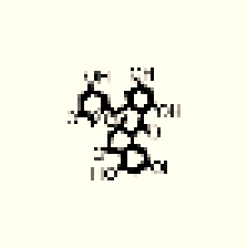 CC1(O)CC(=O)c2c(O)cc(O)cc2C1C(=O)c1c(O)cc(O)cc1Cc1cc(O)cc(=O)o1